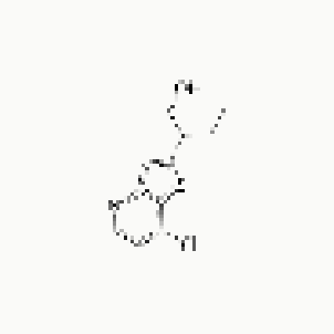 CCC(CO)c1cc2nccc(Cl)c2s1